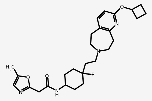 Cc1cnc(CC(=O)NC2CCC(F)(CCN3CCc4ccc(OC5CCC5)nc4CC3)CC2)o1